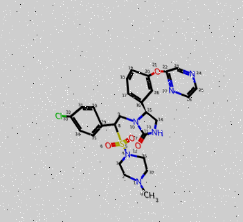 CN1CCN(S(=O)(=O)C(CN2C(=O)NC[C@@H]2c2cccc(Oc3cnccn3)c2)c2ccc(Cl)cc2)CC1